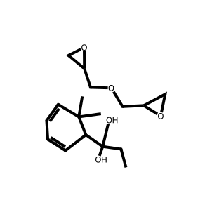 C(OCC1CO1)C1CO1.CCC(O)(O)C1C=CC=CC1(C)C